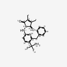 CC1=C(C)C(=O)N(Nc2ccc(C(F)(F)P)c(Cc3ccccc3)n2)C1=O